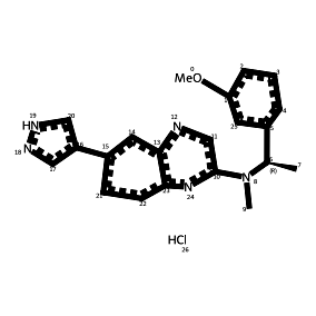 COc1cccc([C@@H](C)N(C)c2cnc3cc(-c4cn[nH]c4)ccc3n2)c1.Cl